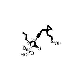 CCC[C@H]1[C@@H](C#CCC2(CCSO)CC2)C(=O)N1S(=O)(=O)O